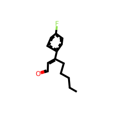 CCCCC/C(=C\C=O)c1ccc(F)cc1